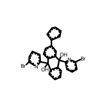 OC1(c2cccc(Br)n2)c2ccccc2C(O)(c2cccc(Br)n2)c2cc(-c3ccccc3)ccc21